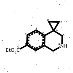 CCOC(=O)c1ccc2c(c1)CNCC21CC1